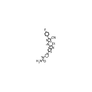 CCc1nc2sc(N3CCC(N(C)C(N)=O)C3)cn2c1N(C)c1nc(-c2ccc(F)cc2)c(C#N)s1